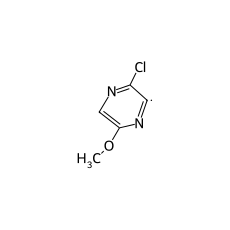 COc1cnc(Cl)[c]n1